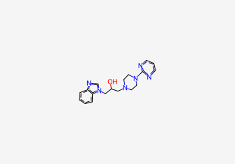 OC(CN1CCN(c2ncccn2)CC1)Cn1cnc2ccccc21